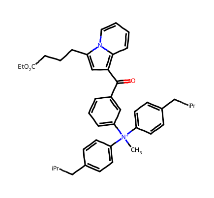 CCOC(=O)CCCc1cc(C(=O)c2cccc([N+](C)(c3ccc(CC(C)C)cc3)c3ccc(CC(C)C)cc3)c2)c2ccccn12